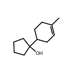 CC1=CCC(C2(O)CCCC2)CC1